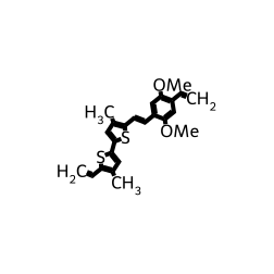 C=Cc1cc(OC)c(/C=C/c2sc(-c3cc(C)c(C=C)s3)cc2C)cc1OC